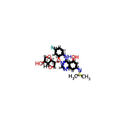 CS(C)=Nc1cc(O)c2c(Nc3ccc(F)cc3O[C@@H]3CO[C@@H]4C(O)COC43)ncnc2c1